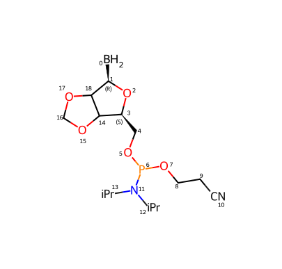 B[C@H]1O[C@@H](COP(OCCC#N)N(C(C)C)C(C)C)C2OCOC21